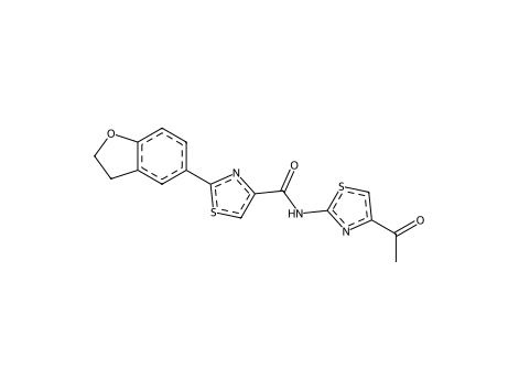 CC(=O)c1csc(NC(=O)c2csc(-c3ccc4c(c3)CCO4)n2)n1